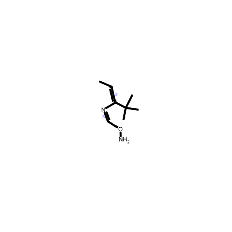 C/C=C(\N=C/ON)C(C)(C)C